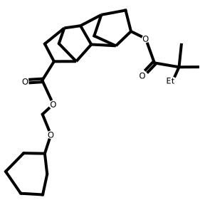 CCC(C)(C)C(=O)OC1CC2CC1C1C3CC(CC3C(=O)OCOC3CCCCC3)C21